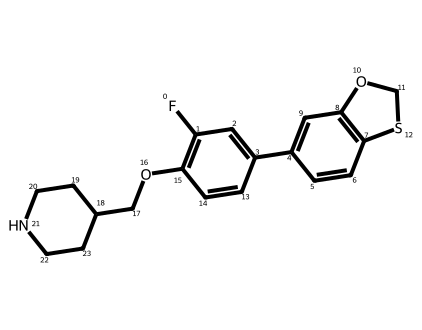 Fc1cc(-c2ccc3c(c2)OCS3)ccc1OCC1CCNCC1